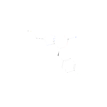 CSCc1nc([C@H](Cc2ccc(Cl)cc2)OC(N)=O)no1